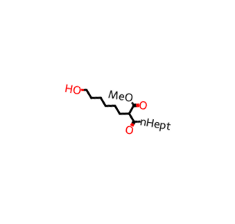 CCCCCCCC(=O)C(CCCCCCO)C(=O)OC